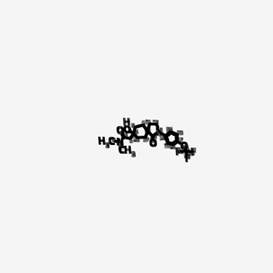 CN(C)C(=O)CC1(O)CCC2(CCN(c3ccc(OC(F)(F)F)cc3)C2=O)CC1